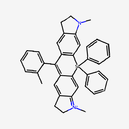 Cc1ccccc1C1=c2cc3c(cc2[Si](c2ccccc2)(c2ccccc2)c2cc4c(cc21)CCN4C)=[N+](C)CC3